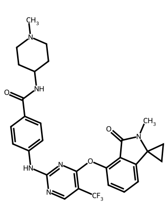 CN1CCC(NC(=O)c2ccc(Nc3ncc(C(F)(F)F)c(Oc4cccc5c4C(=O)N(C)C54CC4)n3)cc2)CC1